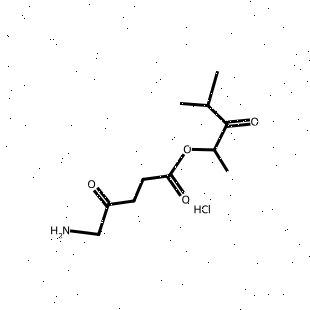 CC(C)C(=O)C(C)OC(=O)CCC(=O)CN.Cl